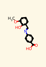 COc1cccc(C=Nc2ccc(C(=O)O)cc2)c1O